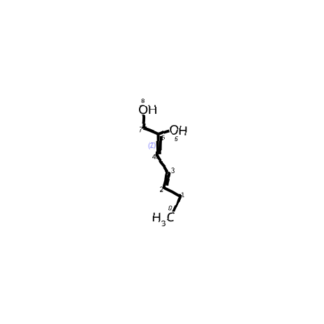 CCC=C/[C]=C(\O)CO